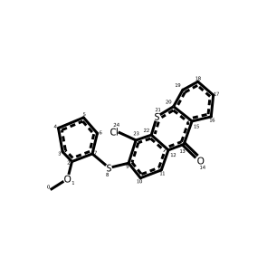 COc1ccccc1Sc1ccc2c(=O)c3ccccc3sc2c1Cl